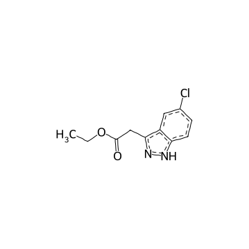 CCOC(=O)Cc1n[nH]c2ccc(Cl)cc12